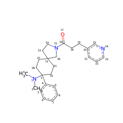 CN(C)C1(c2ccccc2)CCC2(CCN(C(=O)CCc3cccnc3)C2)CC1